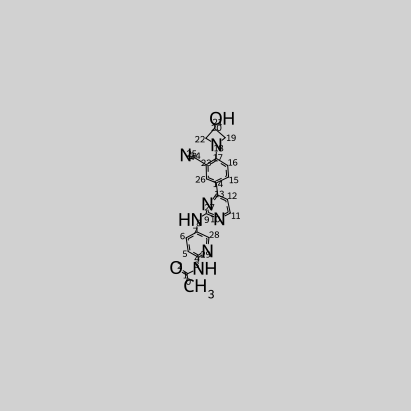 CC(=O)Nc1ccc(Nc2nccc(-c3ccc(N4CC(O)C4)c(C#N)c3)n2)cn1